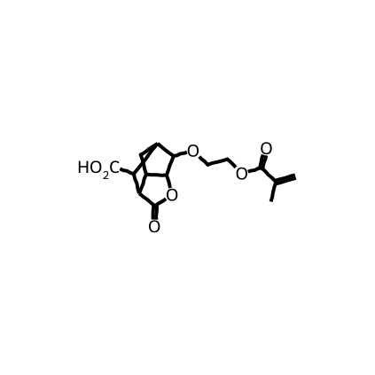 C=C(C)C(=O)OCCOC1C2CC3C1OC(=O)C3C2C(=O)O